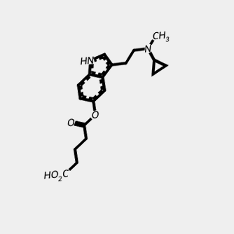 CN(CCc1c[nH]c2ccc(OC(=O)CCCC(=O)O)cc12)C1CC1